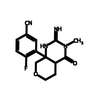 CN1C(=N)NC2(c3cc(C#N)ccc3F)COCCC2C1=O